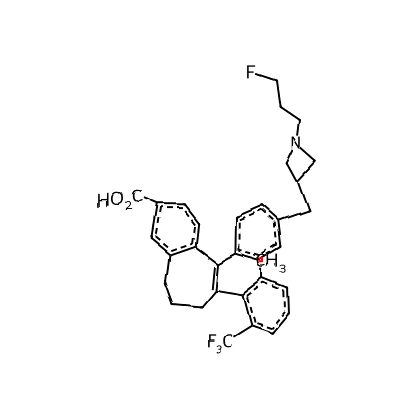 Cc1cccc(C(F)(F)F)c1C1=C(c2ccc(CC3CN(CCCF)C3)cc2)c2ccc(C(=O)O)cc2CCC1